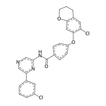 O=C(Nc1cncc(-c2cccc(Cl)c2)n1)c1ccc(Oc2cc3c(cc2Cl)CCCO3)cc1